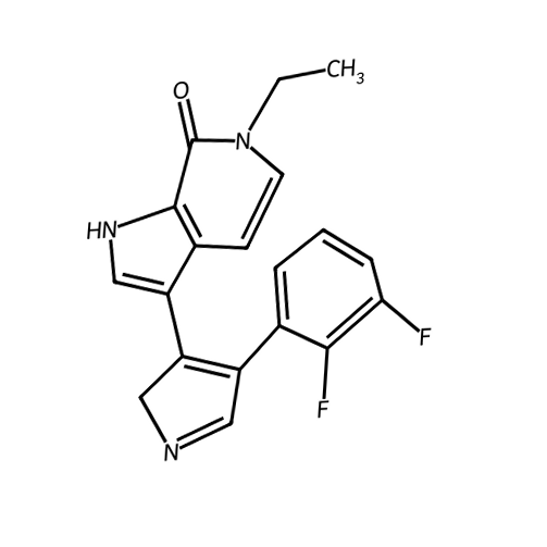 CCn1ccc2c(C3=C(c4cccc(F)c4F)C=NC3)c[nH]c2c1=O